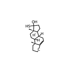 C[C@]12CCCCC1=CC[C@@H]1[C@H]2CC[C@@]2(C)[C@H]1CCC2(O)S